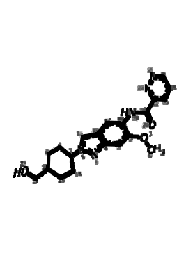 COc1cc2nn(C3CCC(CO)CC3)cc2cc1NC(=O)c1cccnn1